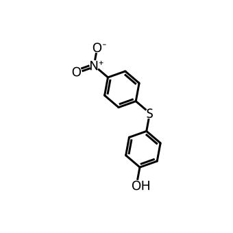 O=[N+]([O-])c1ccc(Sc2ccc(O)cc2)cc1